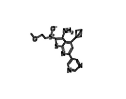 COCC[S+]([O-])c1sc2nc(-c3cncnc3)cc(C34CC(C3)C4)c2c1N